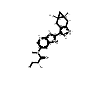 CC[C@@H](C)C(=O)N(C)c1cnc2nc(-c3n[nH]c4c3C[C@@H]3C[C@]3(C)C4)[nH]c2c1